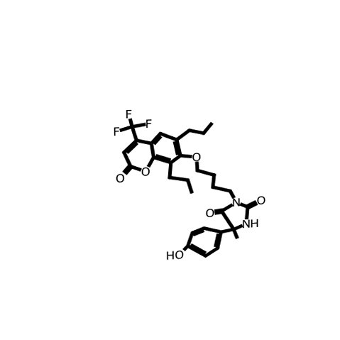 CCCc1cc2c(C(F)(F)F)cc(=O)oc2c(CCC)c1OCCCCN1C(=O)NC(C)(c2ccc(O)cc2)C1=O